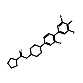 Cc1c(F)cc(-c2ccc(C3CCC(CC(=O)C4CCCC4)CC3)cc2F)cc1F